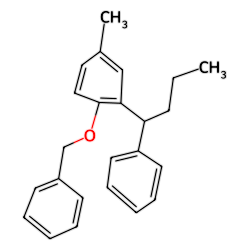 CCCC(c1ccccc1)c1cc(C)ccc1OCc1ccccc1